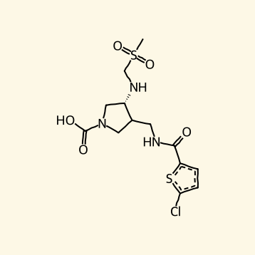 CS(=O)(=O)CN[C@H]1CN(C(=O)O)CC1CNC(=O)c1ccc(Cl)s1